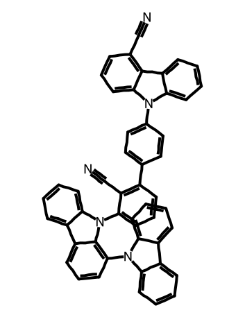 N#Cc1c(-c2ccc(-n3c4ccccc4c4c(C#N)cccc43)cc2)cccc1-n1c2ccccc2c2cccc(-n3c4ccccc4c4ccccc43)c21